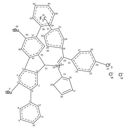 CC(C)(C)c1cc2c(cc1-c1ccccc1)[CH]([Hf+2]([C]1=CC=CC1)=[C](c1ccc(C(F)(F)F)cc1)c1ccc(C(F)(F)F)cc1)c1cc(-c3ccccc3)c(C(C)(C)C)cc1-2.[Cl-].[Cl-]